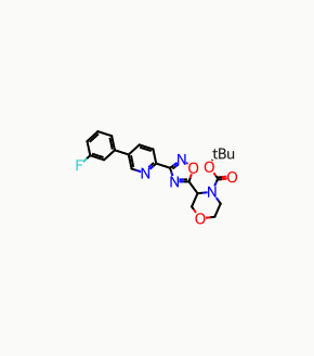 CC(C)(C)OC(=O)N1CCOCC1c1nc(-c2ccc(-c3cccc(F)c3)cn2)no1